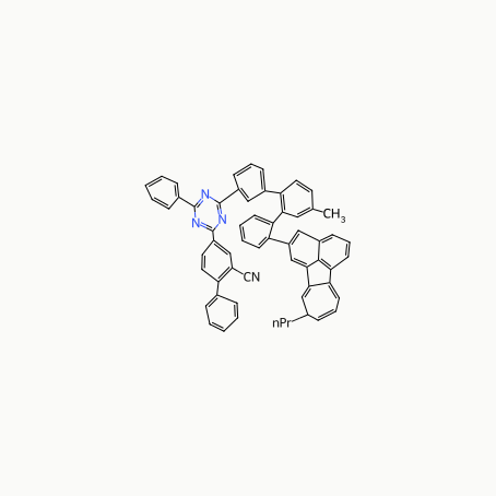 CCCC1C=CC=C2C(=C1)c1cc(-c3ccccc3-c3cc(C)ccc3-c3cccc(-c4nc(-c5ccccc5)nc(-c5ccc(-c6ccccc6)c(C#N)c5)n4)c3)cc3cccc2c13